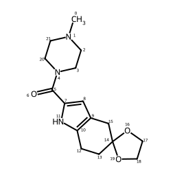 CN1CCN(C(=O)c2cc3c([nH]2)CCC2(C3)OCCO2)CC1